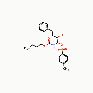 CCCCOC(=O)NC(OS(=O)(=O)c1ccc(C)cc1)[C@H](O)CCc1ccccc1